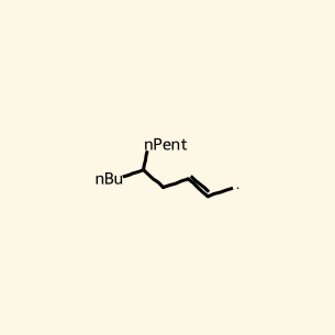 [CH2]/C=C/CC(CCCC)CCCC[CH2]